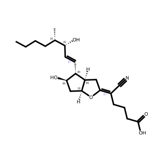 CCCC[C@H](C)[C@H](O)/C=C/[C@@H]1[C@H]2C/C(=C(\C#N)CCCC(=O)O)O[C@H]2C[C@H]1O